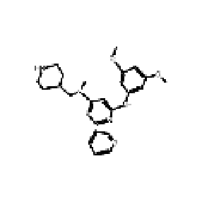 COc1cc(Nc2cc(N(C)CC3CCNCC3)ncn2)cc(OC)c1.c1ccncc1